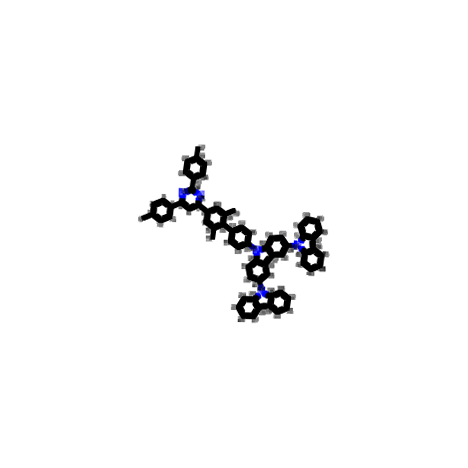 Cc1ccc(-c2cc(-c3cc(C)c(-c4ccc(-n5c6ccc(-n7c8ccccc8c8ccccc87)cc6c6cc(-n7c8ccccc8c8ccccc87)ccc65)cc4)c(C)c3)nc(-c3ccc(C)cc3)n2)cc1